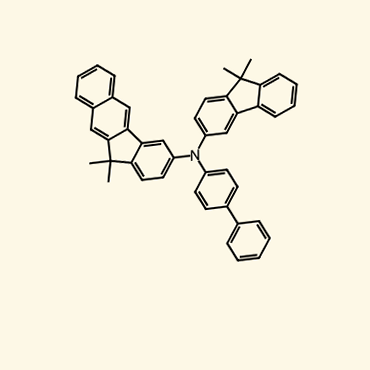 CC1(C)c2ccccc2-c2cc(N(c3ccc(-c4ccccc4)cc3)c3ccc4c(c3)-c3cc5ccccc5cc3C4(C)C)ccc21